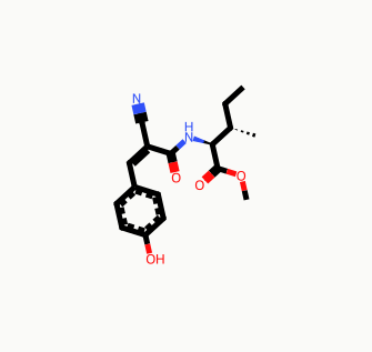 CC[C@H](C)[C@H](NC(=O)C(C#N)=Cc1ccc(O)cc1)C(=O)OC